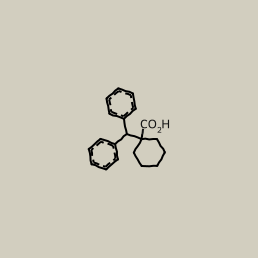 O=C(O)C1(C(c2ccccc2)c2ccccc2)CCCCC1